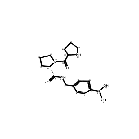 O=C(NCc1ccc(B(O)O)cc1)[C@@H]1CCCN1C(=O)C1CCCN1